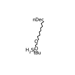 CCCCCCCCCCCCCCCCCCCOCCO[SiH2]C(C)(C)C